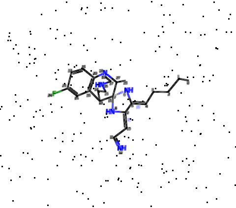 CCCC/C=C1\N[C@]2(N\C1=C/C=N)C1CCNCCN(c3ccc(F)cc31)C2C